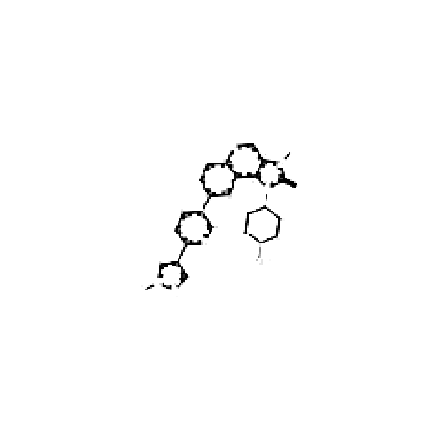 CC(=O)N[C@H]1CC[C@@H](n2c(=O)n(C)c3cnc4ccc(-c5ccc(-c6cnn(C)c6)nc5)cc4c32)CC1